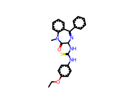 CCOc1ccc(NC(=S)NC2N=C(c3ccccc3)c3ccccc3N(C)C2=O)cc1